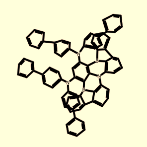 c1ccc(-c2ccc(N(c3ccc(-c4ccccc4)cc3)c3cc(N(c4ccc(-c5ccccc5)cc4)c4ccc(-c5ccccc5)cc4)c4c5c3B3c6ccccc6-c6cccc(c63)N5c3cccc5c3B4c3ccccc3-5)cc2)cc1